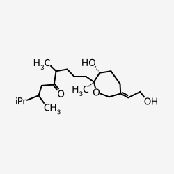 CC(CCC[C@]1(C)OC/C(=C/CO)CC[C@H]1O)C(=O)CC(C)C(C)C